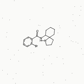 CN1CCCC12CCCCC2NC(=O)c1ccccc1Br